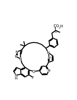 C[C@@H](Cc1cccc(C2CCCCC(C)(C)c3cn(nn3)Cc3c(c(F)cc4[nH]ccc34)Oc3ccnc(c3)-c3ccn2n3)c1)C(=O)O